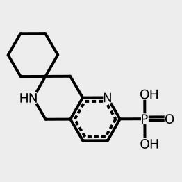 O=P(O)(O)c1ccc2c(n1)CC1(CCCCC1)NC2